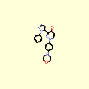 O=c1ccn(-c2ccc(N3CCOCC3)cc2)nc1-c1ccnn1-c1ccccc1